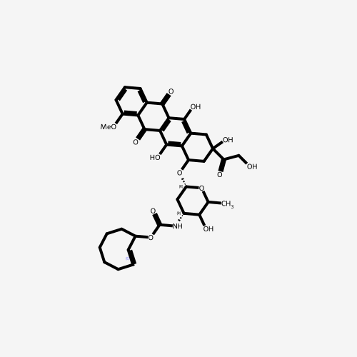 COc1cccc2c1C(=O)c1c(O)c3c(c(O)c1C2=O)CC(O)(C(=O)CO)CC3O[C@H]1C[C@@H](NC(=O)OC2/C=C/CCCCC2)C(O)C(C)O1